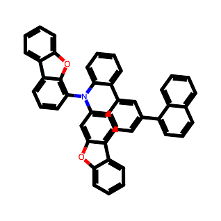 c1cc(-c2ccccc2N(c2ccc3c(c2)oc2ccccc23)c2cccc3c2oc2ccccc23)cc(-c2cccc3ccccc23)c1